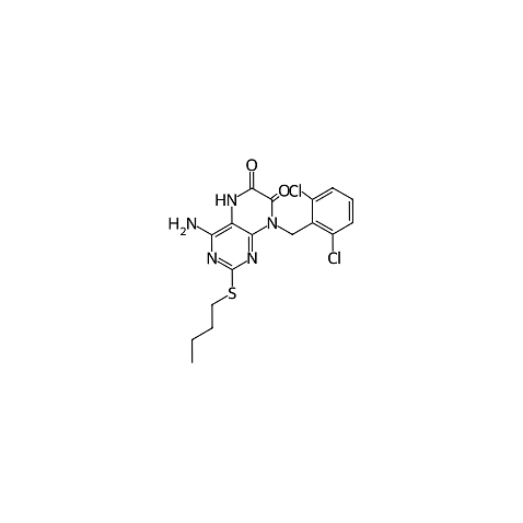 CCCCSc1nc(N)c2[nH]c(=O)c(=O)n(Cc3c(Cl)cccc3Cl)c2n1